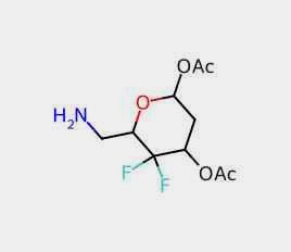 CC(=O)OC1CC(OC(C)=O)C(F)(F)C(CN)O1